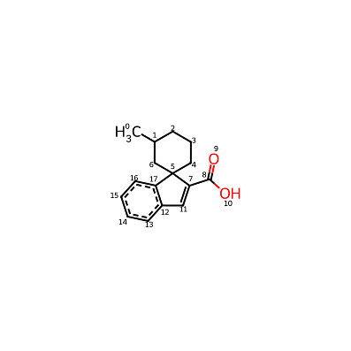 CC1CCCC2(C1)C(C(=O)O)=Cc1ccccc12